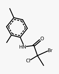 Cc1ccc(NC(=O)C(C)(Cl)Br)c(C)c1